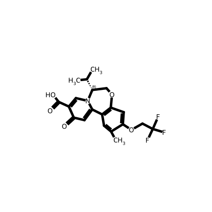 Cc1cc2c(cc1OCC(F)(F)F)OC[C@@H](C(C)C)n1cc(C(=O)O)c(=O)cc1-2